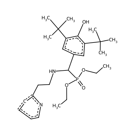 CCOP(=O)(OCC)C(NCCc1ccccn1)c1cc(C(C)(C)C)c(O)c(C(C)(C)C)c1